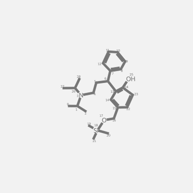 CC(C)N(CCC(c1ccccc1)c1cc(CO[Si](C)(C)C)ccc1O)C(C)C